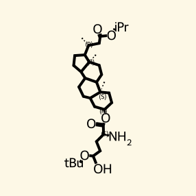 CC(C)OC(=O)C[C@@H](C)C1CCC2C3CCC4C[C@H](OC(=O)[C@@H](N)CCC(O)OC(C)(C)C)CC[C@]4(C)C3CC[C@@]21C